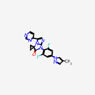 O=C1N(c2c(F)cc(-n3cc(C(F)(F)F)cn3)cc2F)c2ncc(-c3ccncn3)n2C12CC2